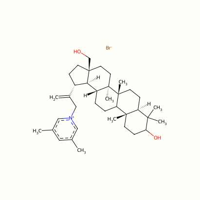 C=C(C[n+]1cc(C)cc(C)c1)[C@@H]1CC[C@]2(CO)CC[C@]3(C)[C@H](CCC4[C@@]5(C)CCC(O)C(C)(C)[C@@H]5CC[C@]43C)[C@@H]12.[Br-]